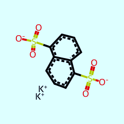 O=S(=O)([O-])c1cccc2c(S(=O)(=O)[O-])cccc12.[K+].[K+]